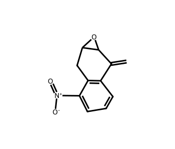 C=C1c2cccc([N+](=O)[O-])c2CC2OC12